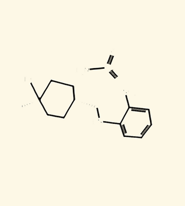 C[C@]1(O)CC[C@H](CNc2ccccc2[N+](=O)[O-])CC1.N[SH](=O)=O